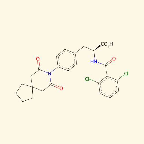 O=C(N[C@@H](Cc1ccc(N2C(=O)CC3(CCCC3)CC2=O)cc1)C(=O)O)c1c(Cl)cccc1Cl